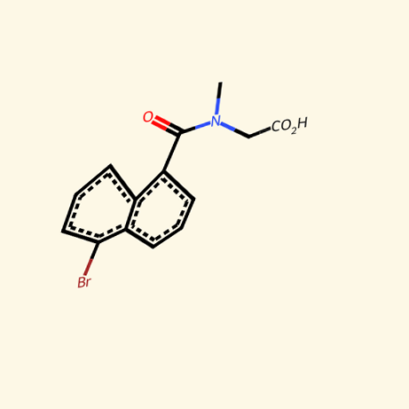 CN(CC(=O)O)C(=O)c1cccc2c(Br)cccc12